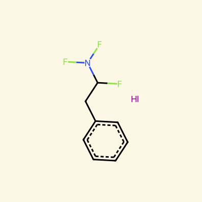 FC(Cc1ccccc1)N(F)F.I